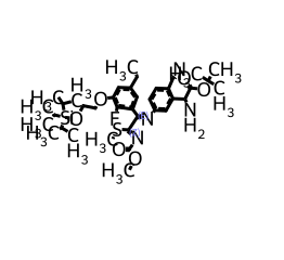 CCc1cc(OCCO[Si](C(C)C)(C(C)C)C(C)C)c(F)c(C(=N\c2ccc(C#N)c(C(N)C(=O)OC(C)(C)C)c2)/C(=N/C(=O)OC)SC)c1